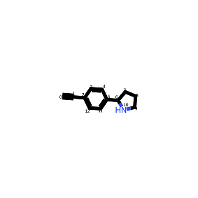 C#Cc1ccc(C2CCCN2)cc1